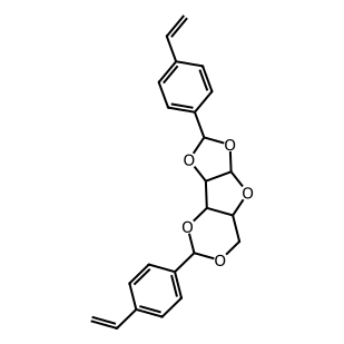 C=Cc1ccc(C2OCC3OC4OC(c5ccc(C=C)cc5)OC4C3O2)cc1